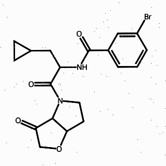 O=C(NC(CC1CC1)C(=O)N1CCC2OCC(=O)C21)c1cccc(Br)c1